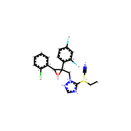 CC[SH](C#N)c1ncnn1CC1(c2ccc(F)cc2F)OC1c1ccccc1Cl